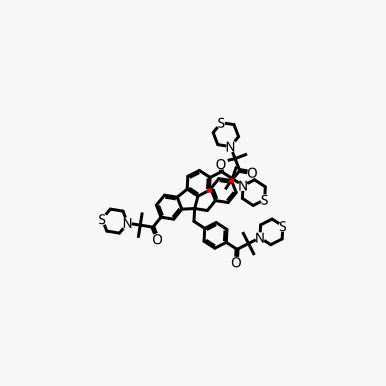 CC(C)(C(=O)c1ccc(CC2(Cc3ccc(C(=O)C(C)(C)N4CCSCC4)cc3)c3cc(C(=O)C(C)(C)N4CCSCC4)ccc3-c3ccc(C(=O)C(C)(C)N4CCSCC4)cc32)cc1)N1CCSCC1